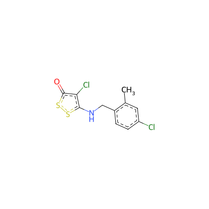 Cc1cc(Cl)ccc1CNc1ssc(=O)c1Cl